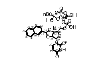 CCCCP(=O)(O)OP(=O)(O)OP(=O)(O)OP(=O)(O)OC[C@H]1O[C@@H](n2ccc(=O)[nH]c2=O)C2OC(c3ccc4ccccc4c3)O[C@H]21